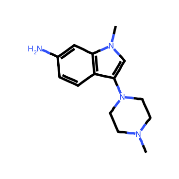 CN1CCN(c2cn(C)c3cc(N)ccc23)CC1